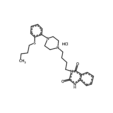 CCCCSc1ccccc1N1CCN(CCCCn2c(=O)[nH]c3ccccc3c2=O)CC1.Cl